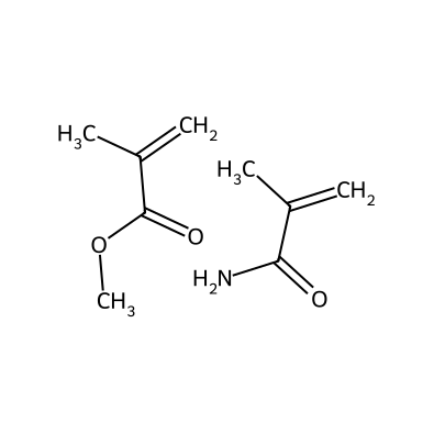 C=C(C)C(=O)OC.C=C(C)C(N)=O